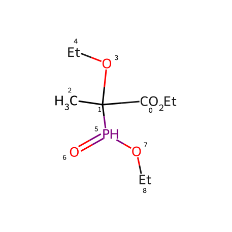 CCOC(=O)C(C)(OCC)[PH](=O)OCC